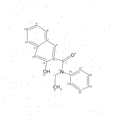 CCN(C(=O)c1cc2ccccc2cc1O)c1ccccc1